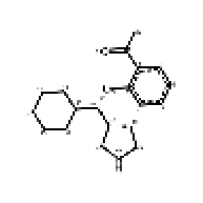 CC(=O)c1ccccc1O[C@@H](C1CCCCC1)[C@@H]1CCNC1